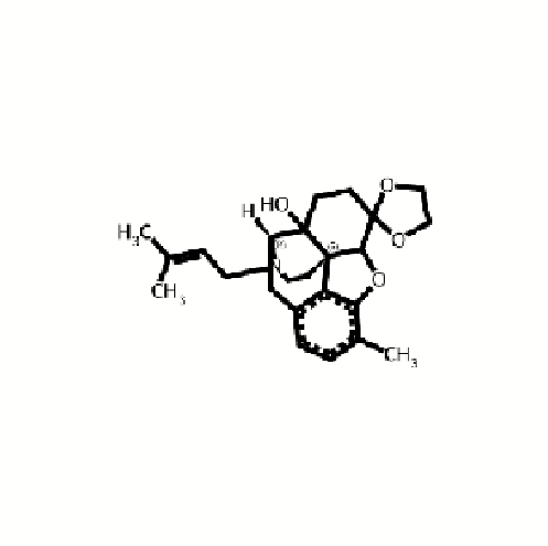 CC(C)=CCN1CC[C@]23c4c5ccc(C)c4OC2C2(CCC3(O)[C@H]1C5)OCCO2